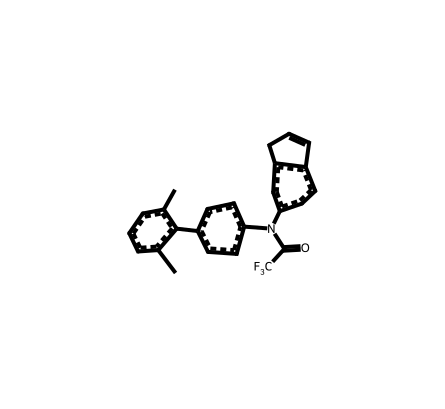 Cc1cccc(C)c1-c1ccc(N(C(=O)C(F)(F)F)c2ccc3c(c2)CC=C3)cc1